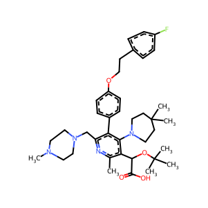 Cc1nc(CN2CCN(C)CC2)c(-c2ccc(OCCc3ccc(F)cc3)cc2)c(N2CCC(C)(C)CC2)c1C(OC(C)(C)C)C(=O)O